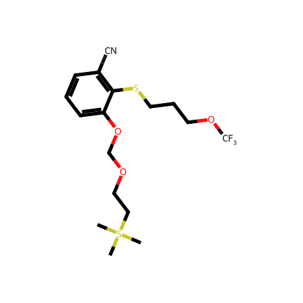 CS(C)(C)CCOCOc1cccc(C#N)c1SCCCOC(F)(F)F